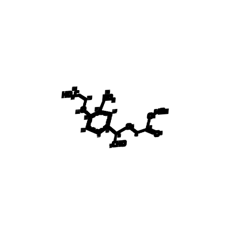 CC(C)(C)OC(=O)COC(C=O)c1ccc(OCC(=O)O)c([N+](=O)[O-])c1